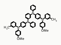 COc1ccc(N(c2ccc(N(c3ccccc3)c3cccc(N(c4ccccc4)c4ccc(N(c5ccc(OC)cc5)c5cccc(C)c5)cc4)c3)cc2)c2cccc(C)c2)cc1